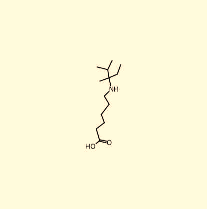 CCC(C)(NCCCCCC(=O)O)C(C)C